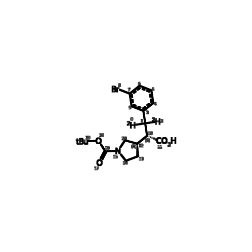 [2H]C([2H])(c1cccc(Br)c1)[C@H](C(=O)O)[C@H]1CCN(C(=O)OC(C)(C)C)C1